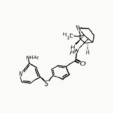 CC(=O)Nc1cc(Sc2ccc(C(=O)N[C@@H]3C4CCN(CC4)[C@H]3C)cc2)ccn1